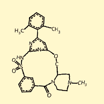 Cc1cccc(C)c1-c1cc2nc(n1)NS(=O)(=O)c1cccc(c1)C(=O)N1CCN(C)CC1CO2